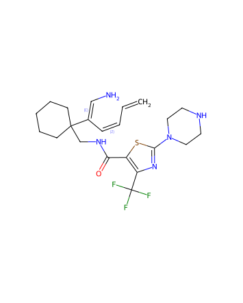 C=C/C=C\C(=C/N)C1(CNC(=O)c2sc(N3CCNCC3)nc2C(F)(F)F)CCCCC1